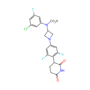 O=C1CCC(c2c(F)cc(N3CC(N(C(=O)O)c4cc(F)cc(Cl)c4)C3)cc2F)C(=O)N1